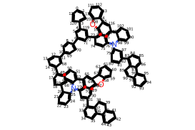 c1ccc(-c2cc(-c3ccc(-c4cccc(-c5ccc(-c6ccccc6N(c6cccc(-c7cccc8c7ccc7ccccc78)c6)c6ccccc6-c6ccc7oc8ccccc8c7c6)cc5)c4)cc3)cc(-c3ccc(N(c4cccc(-c5cccc6c5ccc5ccccc56)c4)c4ccccc4-c4ccc5oc6ccccc6c5c4)cc3)c2)cc1